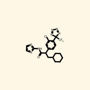 O=C(Nc1nccs1)C(CC1CCCCC1)c1ccc(C2(C(F)(F)F)N=NN=N2)c(Cl)c1